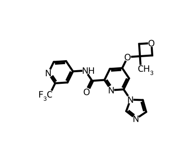 CC1(Oc2cc(C(=O)Nc3ccnc(C(F)(F)F)c3)nc(-n3ccnc3)c2)COC1